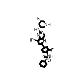 CC(C)c1cc(-c2ccc(NS(=O)(=O)c3ccccc3)c(F)c2)nc2cnc(N[C@@H]3CNC[C@@H](F)C3)nc12